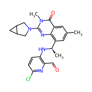 Cc1cc([C@@H](C)Nc2ccc(Cl)nc2C=O)c2nc(N3CC4CC4C3)n(C)c(=O)c2c1